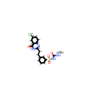 CCCCNC(=O)NS(=O)(=O)c1cccc(CCc2nc3ccc(Cl)cc3c(=O)[nH]2)c1